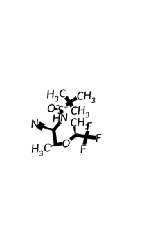 C[C@H](O[C@H](C)[C@@H](C#N)N[S@@+]([O-])C(C)(C)C)C(F)(F)F